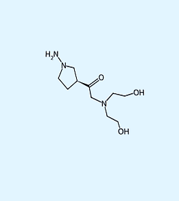 NN1CC[C@H](C(=O)CN(CCO)CCO)C1